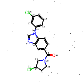 O=C(c1ccc2c(c1)ncn2-c1cccc(Cl)c1)N1CCC(Cl)C1